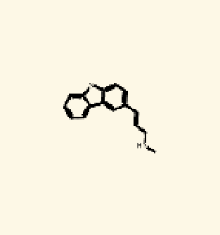 CNCC=Cc1ccc2sc3ccccc3c2c1